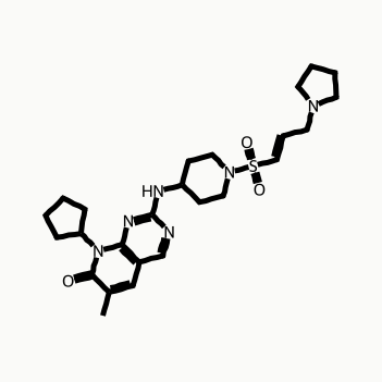 Cc1cc2cnc(NC3CCN(S(=O)(=O)/C=C/CN4CCCC4)CC3)nc2n(C2CCCC2)c1=O